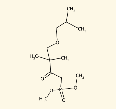 COP(=O)(CC(=O)C(C)(C)COCC(C)C)OC